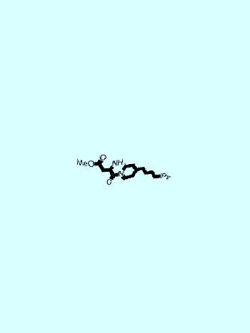 COC(=O)CC(N)C(=O)N1CCC(CCCCC(C)C)CC1